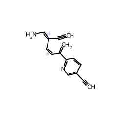 C#CC(/C=C\C(=C)c1ccc(C#C)cn1)=C/N